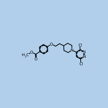 COC(=O)c1ccc(OCCC2CCN(c3cc(Cl)nnc3Cl)CC2)cc1